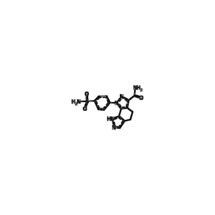 NC(=O)c1nn(-c2ccc(S(N)(=O)=O)cc2)c2c1CCc1cn[nH]c1-2